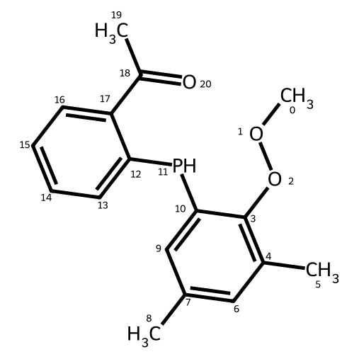 COOc1c(C)cc(C)cc1Pc1ccccc1C(C)=O